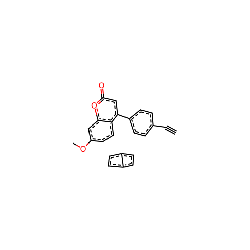 C#Cc1ccc(-c2cc(=O)oc3cc(OC)ccc23)cc1.c1cc2ccc1-2